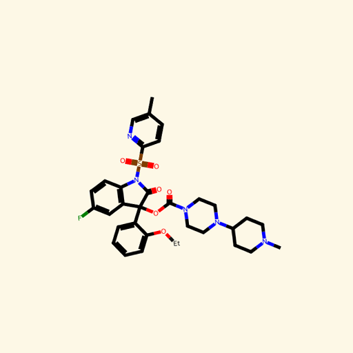 CCOc1ccccc1C1(OC(=O)N2CCN(C3CCN(C)CC3)CC2)C(=O)N(S(=O)(=O)c2ccc(C)cn2)c2ccc(F)cc21